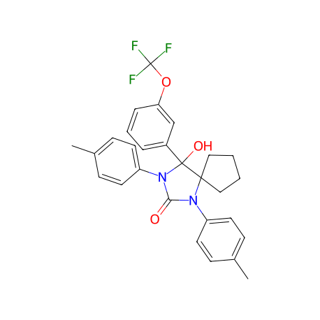 Cc1ccc(N2C(=O)N(c3ccc(C)cc3)C(O)(c3cccc(OC(F)(F)F)c3)C23CCCC3)cc1